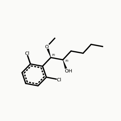 CCCC[C@@H](O)[C@H](OC)c1c(Cl)cccc1Cl